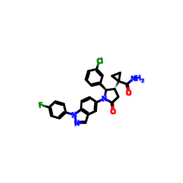 NC(=O)C1([C@@H]2CC(=O)N(c3ccc4c(cnn4-c4ccc(F)cc4)c3)[C@H]2c2cccc(Cl)c2)CC1